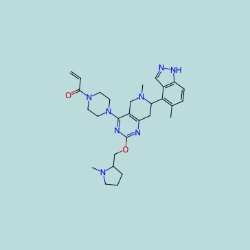 C=CC(=O)N1CCN(c2nc(OCC3CCCN3C)nc3c2CN(C)C(c2c(C)ccc4[nH]ncc24)C3)CC1